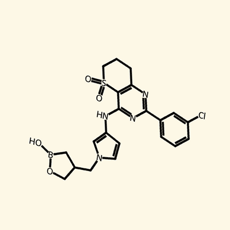 O=S1(=O)CCCc2nc(-c3cccc(Cl)c3)nc(Nc3ccn(CC4COB(O)C4)c3)c21